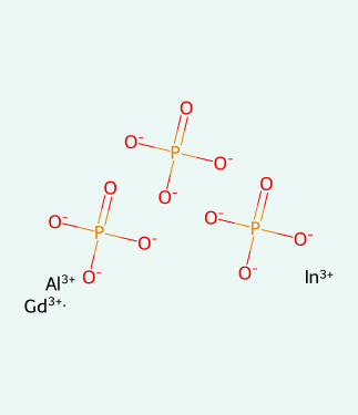 O=P([O-])([O-])[O-].O=P([O-])([O-])[O-].O=P([O-])([O-])[O-].[Al+3].[Gd+3].[In+3]